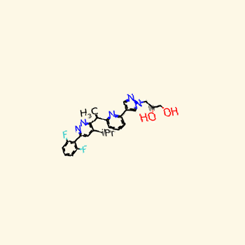 CC(C)c1cc(-c2c(F)cccc2F)nnc1C(C)c1cccc(-c2cnn(C[C@@H](O)CO)c2)n1